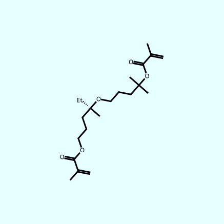 C=C(C)C(=O)OCCC[C@@](C)(CC)OCCCC(C)(C)OC(=O)C(=C)C